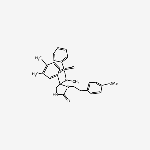 COc1ccc(CCN2C(=O)NCC2(c2ccc(C)c(C)c2)N(C)S(=O)(=O)c2ccccc2)cc1